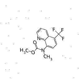 COC(=O)N(C)c1ccc(C(F)(F)F)c2cccnc12